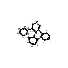 C1=C(c2ccccc2)C(c2ccccc2)=C(c2ccccc2)CS1